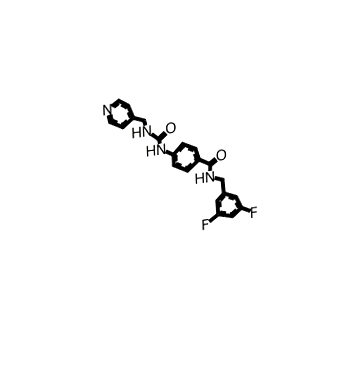 O=C(NCc1ccncc1)Nc1ccc(C(=O)NCc2cc(F)cc(F)c2)cc1